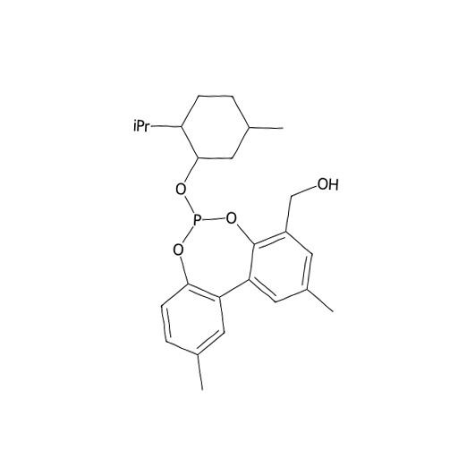 Cc1ccc2op(OC3CC(C)CCC3C(C)C)oc3c(CO)cc(C)cc3c2c1